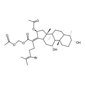 CC(=O)OCOC(=O)/C(CCC(Br)=C(C)C)=C1/C2C[C@@H](O)C3[C@@]4(C)CC[C@@H](O)[C@@H](C)C4CC[C@]3(C)[C@@]2(C)C[C@@H]1OC(C)=O